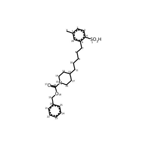 Cc1ccc(S(=O)(=O)O)c(CCCCCC2CCN(C(=O)OCc3ccccc3)CC2)c1